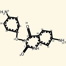 Nc1ccc(On2c(=O)[nH]c3cc(N)ccc3c2=O)cc1